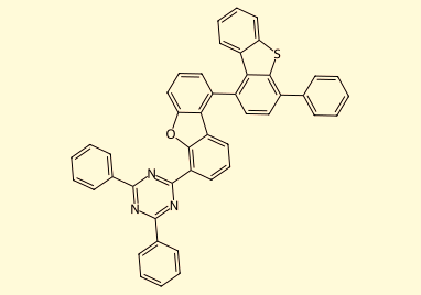 c1ccc(-c2nc(-c3ccccc3)nc(-c3cccc4c3oc3cccc(-c5ccc(-c6ccccc6)c6sc7ccccc7c56)c34)n2)cc1